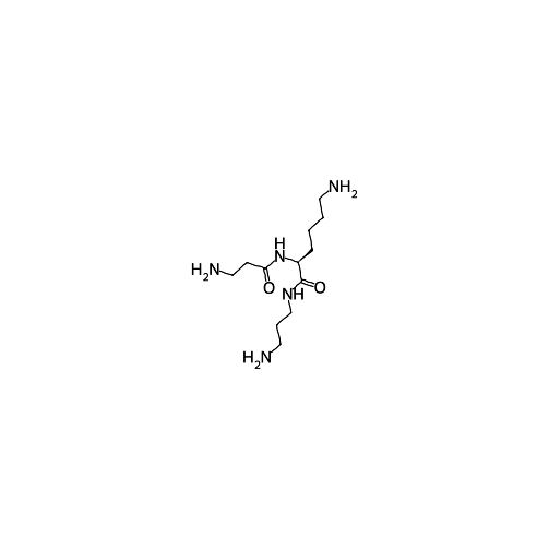 NCCCC[C@H](NC(=O)CCN)C(=O)NCCCN